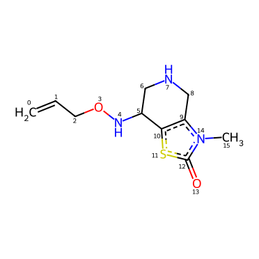 C=CCONC1CNCc2c1sc(=O)n2C